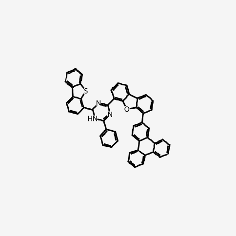 c1ccc(C2=NC(c3cccc4c3oc3c(-c5ccc6c7ccccc7c7ccccc7c6c5)cccc34)=NC(c3cccc4c3sc3ccccc34)N2)cc1